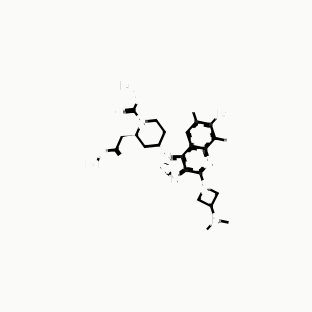 CN(C)C1CN(c2nc3c(F)c(Br)c(I)cc3c3c2nnn3[C@H]2CCN(C(=O)OC(C)(C)C)[C@H](CC(=O)OC(C)(C)C)C2)C1